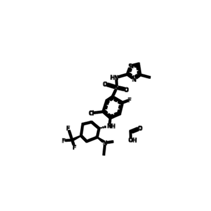 Cc1csc(NS(=O)(=O)c2cc(Cl)c(N[C@H]3CC[C@H](C(F)(F)F)C[C@@H]3N(C)C)cc2F)n1.O=CO